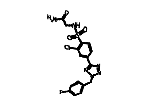 NC(=O)CNS(=O)(=O)c1ccc(-c2nnn(Cc3ccc(F)cc3)n2)cc1Cl